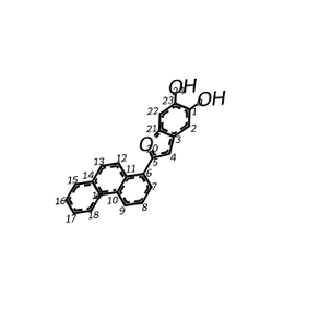 Oc1cc2cc(-c3cccc4c3ccc3ccccc34)oc2cc1O